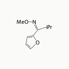 CO/N=C(\c1ccco1)C(C)C